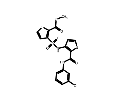 COC(=O)c1sccc1S(=O)(=O)Nc1ccsc1C(=O)Nc1cccc(Cl)c1